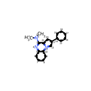 CN(C)c1nc2ccccc2n2cc(-c3ccccc3)cc12